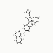 N[N+]12C=CN=CC1=C(C1=CC=C1)N=C2c1ccc(Oc2cccc3ccccc23)cc1